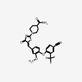 COc1cc(/C=C2\SC(N3CCC(C(N)=O)CC3)=NC2=O)ccc1Oc1ccc(C#N)cc1C(F)(F)F